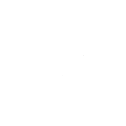 [C]1=c2ccccc2=C[AsH]1